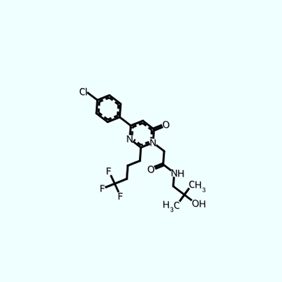 CC(C)(O)CNC(=O)Cn1c(CCCC(F)(F)F)nc(-c2ccc(Cl)cc2)cc1=O